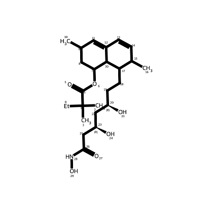 CCC(C)(C)C(=O)OC1CC(C)C=C2C=CC(C)C(CC[C@@H](O)C[C@@H](O)CC(=O)NO)C21